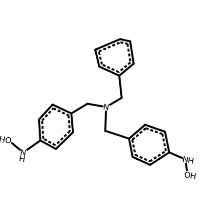 ONc1ccc(CN(Cc2ccccc2)Cc2ccc(NO)cc2)cc1